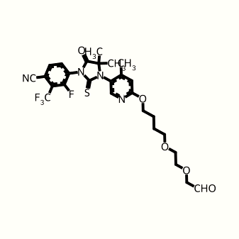 Cc1cc(OCCCCOCCOCC=O)ncc1N1C(=S)N(c2ccc(C#N)c(C(F)(F)F)c2F)C(=O)C1(C)C